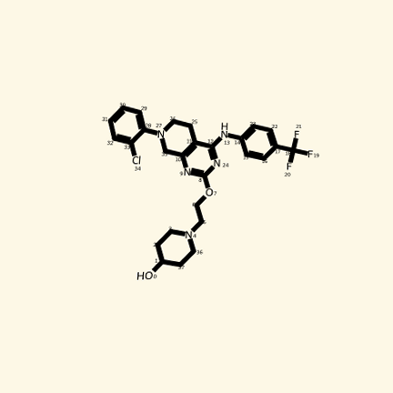 OC1CCN(CCOc2nc3c(c(Nc4ccc(C(F)(F)F)cc4)n2)CCN(c2ccccc2Cl)C3)CC1